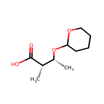 C[C@H](C(=O)O)[C@@H](C)OC1CCCCO1